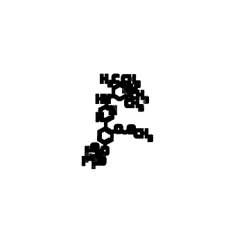 COCOc1cc(OS(=O)(=O)C(F)(F)F)ccc1-c1cnc(NC2CC(C)(C)NC(C)(C)C2)cn1